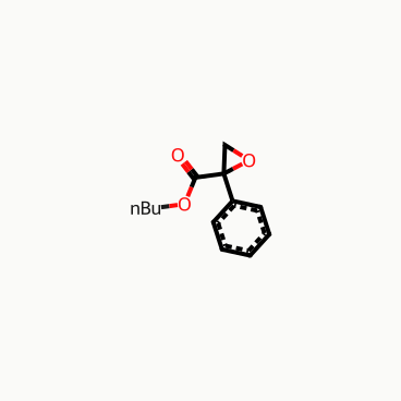 CCCCOC(=O)C1(c2ccccc2)CO1